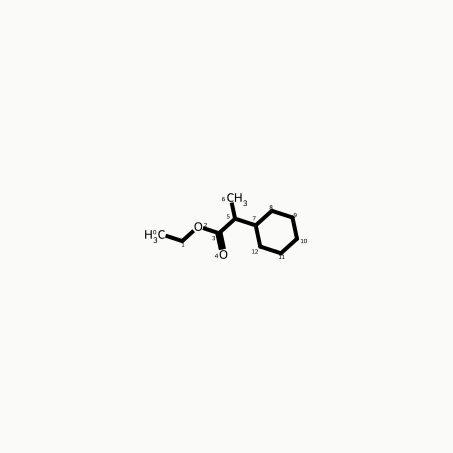 CCOC(=O)C(C)C1CCCCC1